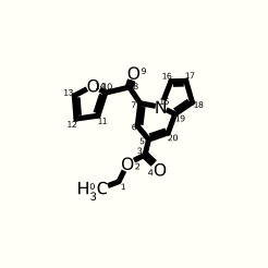 CCOC(=O)c1cc(C(=O)c2ccco2)n2cccc2c1